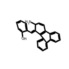 NC1C=Cc2c(c3ccccc3c3ccccc23)C1=Cc1ccccc1O